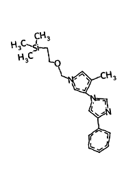 Cc1cn(COCC[Si](C)(C)C)cc1-n1cnc(-c2ccccc2)c1